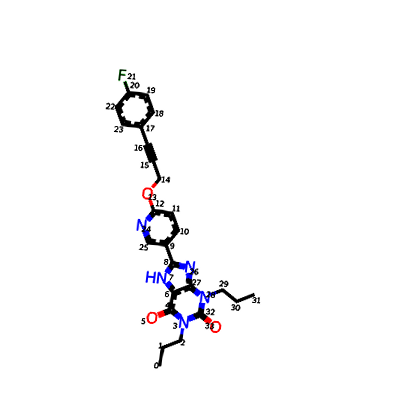 CCCn1c(=O)c2[nH]c(-c3ccc(OCC#Cc4ccc(F)cc4)nc3)nc2n(CCC)c1=O